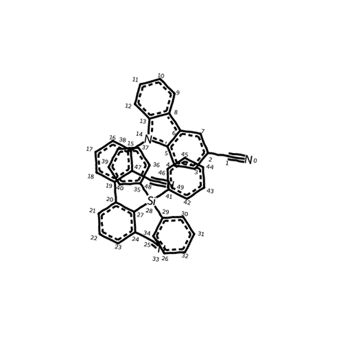 N#Cc1ccc2c(c1)c1ccccc1n2-c1cccc(-c2cccc(C#N)c2[Si](c2ccccc2)(c2ccccc2)c2ccccc2)c1C#N